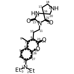 CCN(CC)c1ccc2c(C)c(CCN3C(=O)NC4(CCNC4)C3=O)c(=O)oc2c1